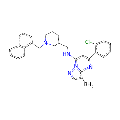 Bc1cnn2c(NCC3CCCN(Cc4cccc5ccccc45)C3)cc(-c3ccccc3Cl)nc12